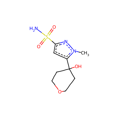 Cn1nc(S(N)(=O)=O)cc1C1(O)CCOCC1